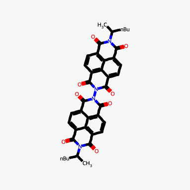 CCCCC(C)N1C(=O)c2ccc3c4c(ccc(c24)C1=O)C(=O)N(N1C(=O)c2ccc4c5c(ccc(c25)C1=O)C(=O)N(C(C)CCCC)C4=O)C3=O